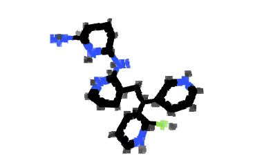 Nc1cccc(Nc2ncccc2CC(c2cccnc2)c2cccnc2F)n1